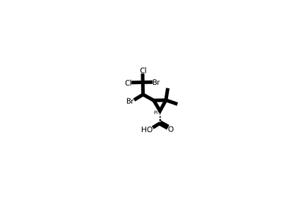 CC1(C)C(C(Br)C(Cl)(Cl)Br)[C@H]1C(=O)O